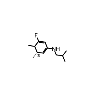 CC(C)CNC1=C[C@H](C)C(C)C(F)=C1